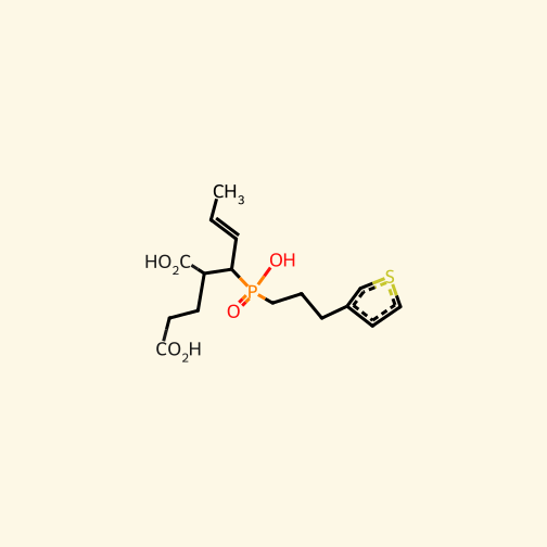 CC=CC(C(CCC(=O)O)C(=O)O)P(=O)(O)CCCc1ccsc1